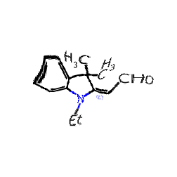 CCN1/C(=C/C=O)C(C)(C)c2ccccc21